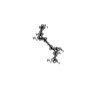 C=C(C)C(=O)OCCOC(=O)NC1CC(CNC(=O)OCCCCCCOC(=O)NCC2CC(NC(=O)OCCOC(=O)C(C)=O)CC(C)(C)C2)CC(C)(C)C1